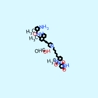 Cc1ccc(N)cc1C(=O)N[C@H](C)c1ccc(C#CC2CCN(CCCCCCc3cccc4c3n(C)c(=O)n4C3CCC(=O)NC3=O)CC2)c2ccccc12.O=CO